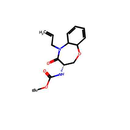 C=CCN1C(=O)[C@@H](NC(=O)OC(C)(C)C)COC2C=CC=CC21